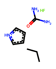 CCC.F.NC(N)=O.c1cc[nH]c1